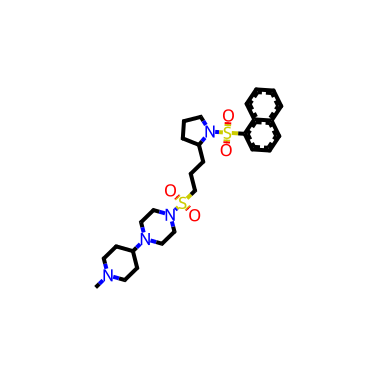 CN1CCC(N2CCN(S(=O)(=O)CCCC3CCCN3S(=O)(=O)c3cccc4ccccc34)CC2)CC1